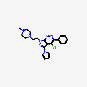 CN1CCN(CCn2nc(-n3cccc3)c3c(Cl)c(-c4ccccc4)nnc32)CC1